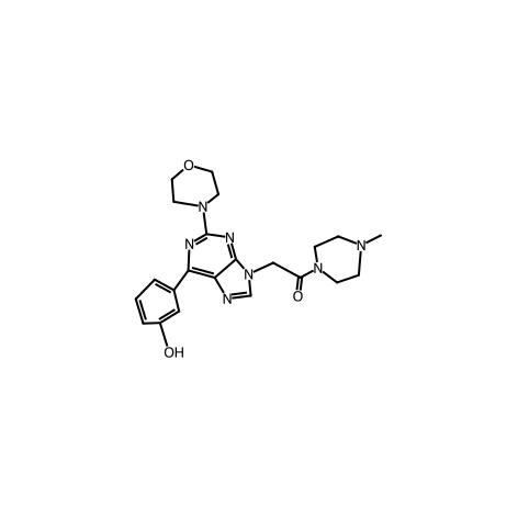 CN1CCN(C(=O)Cn2cnc3c(-c4cccc(O)c4)nc(N4CCOCC4)nc32)CC1